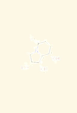 O=C1CCC(O)C2[C@H](O)C(O)CN12